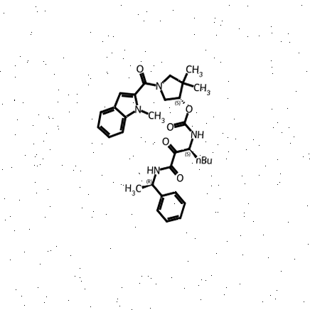 CCCC[C@H](NC(=O)O[C@@H]1CN(C(=O)c2cc3ccccc3n2C)CC1(C)C)C(=O)C(=O)N[C@H](C)c1ccccc1